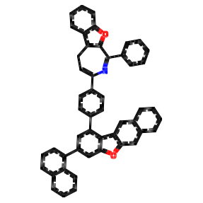 C1=C(c2ccc(-c3cc(-c4cccc5ccccc45)cc4oc5cc6ccccc6cc5c34)cc2)N=C(c2ccccc2)c2oc3ccccc3c2C1